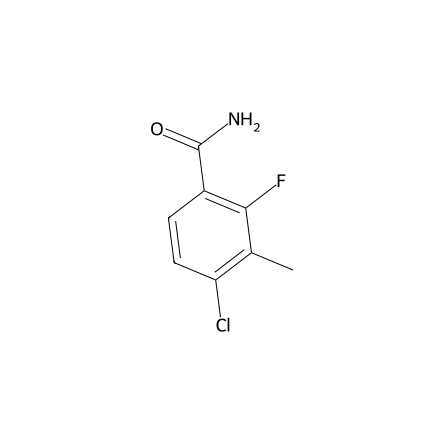 Cc1c(Cl)ccc(C(N)=O)c1F